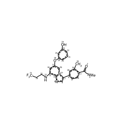 CNC(=O)c1ccc(-c2cnc3c(NCCC(F)(F)F)cc(Oc4cccc(O)c4)cn23)cc1C